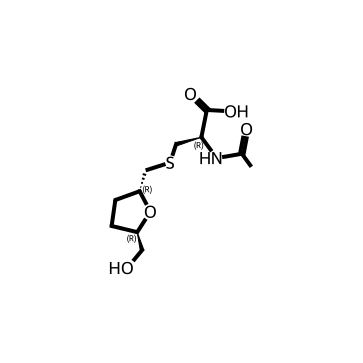 CC(=O)N[C@@H](CSC[C@H]1CC[C@H](CO)O1)C(=O)O